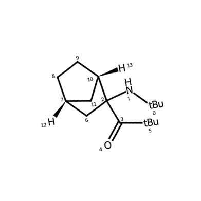 CC(C)(C)NC1(C(=O)C(C)(C)C)C[C@@H]2CC[C@H]1C2